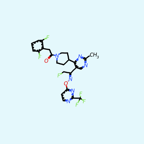 Cc1ncc(C(CF)=NOc2ccnc(C(F)(F)F)n2)c(C2CCN(C(=O)Cc3c(F)cccc3F)CC2)n1